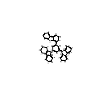 c1ccc2c(c1)oc1c(-c3cc(-n4c5c(c6ccccc64)CCCC5)cc(-n4c5ccccc5c5ccccc54)c3)cccc12